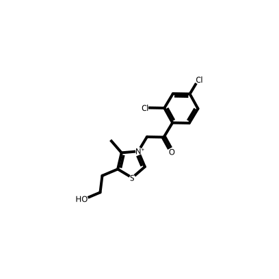 Cc1c(CCO)sc[n+]1CC(=O)c1ccc(Cl)cc1Cl